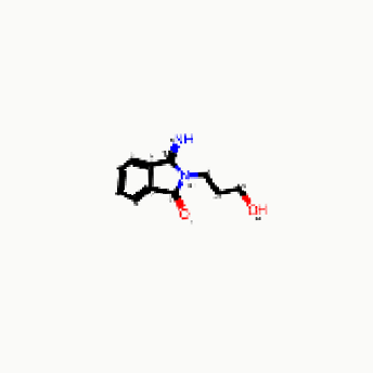 N=C1c2ccccc2C(=O)N1CCCO